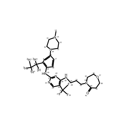 [2H]C([2H])([2H])C([2H])([2H])c1cc(N2CCN(C)CC2)ccc1Nc1ncc(C(F)(F)F)c(NCCCN2CCOCCC2=O)n1